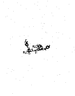 COC(=O)[C@H](CCCCNC(=O)CN(CC(=O)NCCc1ccc(F)cc1)C(=O)OC(C)(C)C)NC(=O)OCc1ccc(C(F)(F)F)cc1